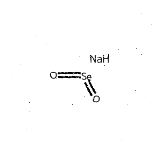 O=[Se]=O.[NaH]